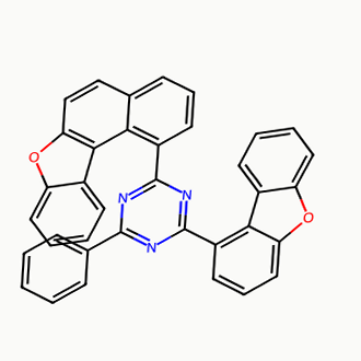 c1ccc(-c2nc(-c3cccc4oc5ccccc5c34)nc(-c3cccc4ccc5oc6ccccc6c5c34)n2)cc1